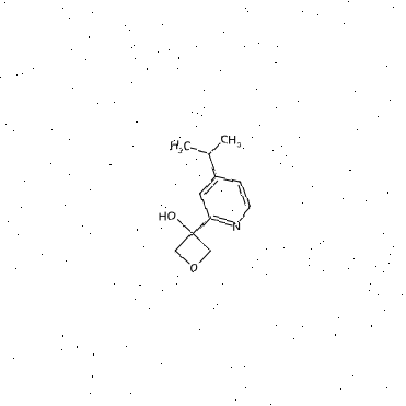 CC(C)c1ccnc(C2(O)COC2)c1